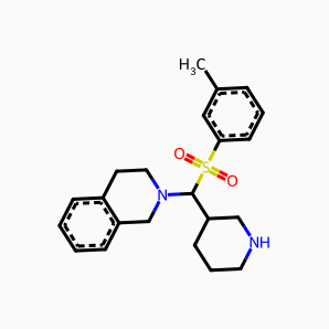 Cc1cccc(S(=O)(=O)C(C2CCCNC2)N2CCc3ccccc3C2)c1